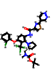 CN(C[C@H]1CCCN1c1c(NC(=O)c2csc(-c3ccnnc3)n2)ccc(Oc2ccccc2F)c1C(F)(F)F)C(=O)OC(C)(C)C